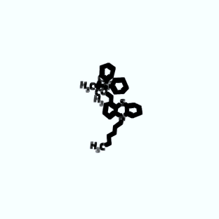 CCCCCCN1c2ccccc2Sc2c(CO[Si](c3ccccc3)(c3ccccc3)C(C)(C)C)cccc21